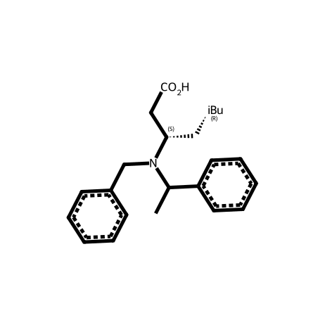 CC[C@@H](C)C[C@@H](CC(=O)O)N(Cc1ccccc1)C(C)c1ccccc1